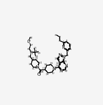 CCCc1cccc(Cn2ncc3c(N4CCC(C(=O)N5CCC(CN(CCOC)C(C)(C)C)CC5)CC4)ncnc32)n1